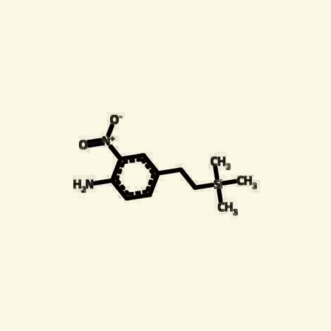 C[Si](C)(C)CCc1ccc(N)c([N+](=O)[O-])c1